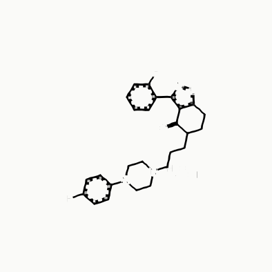 Cl.O.O=C1c2c(-c3ccccc3F)noc2CCC1CCCN1CCN(c2ccc(F)cc2)CC1